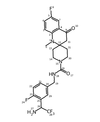 CN1c2ccc(F)cc2C(=O)CC12CCN(C(=O)NCc1ccc(F)c(C(N)C(F)(F)F)c1)CC2